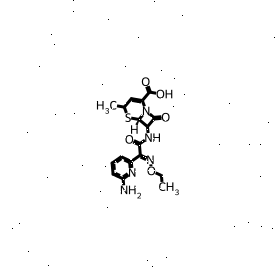 CCON=C(C(=O)NC1C(=O)N2C(C(=O)O)=CC(C)S[C@@H]12)c1cccc(N)n1